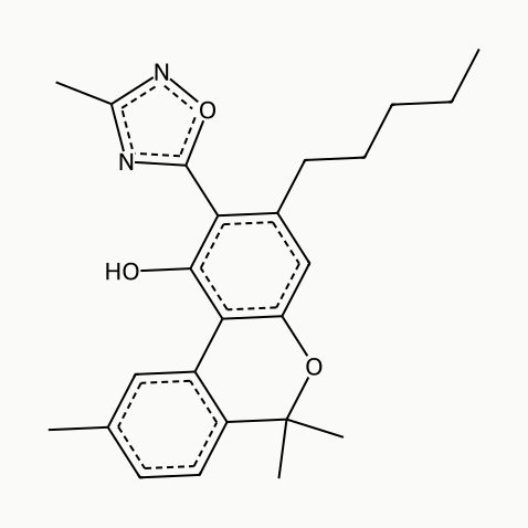 CCCCCc1cc2c(c(O)c1-c1nc(C)no1)-c1cc(C)ccc1C(C)(C)O2